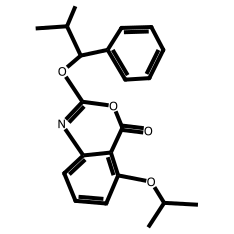 CC(C)Oc1cccc2nc(OC(c3ccccc3)C(C)C)oc(=O)c12